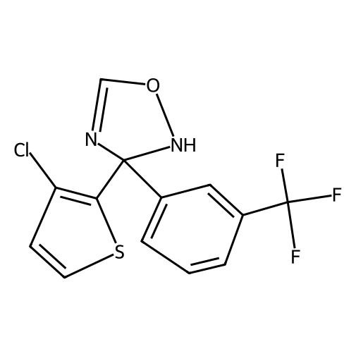 FC(F)(F)c1cccc(C2(c3sccc3Cl)N=CON2)c1